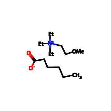 CCCCCC(=O)[O-].CC[N+](CC)(CC)CCOC